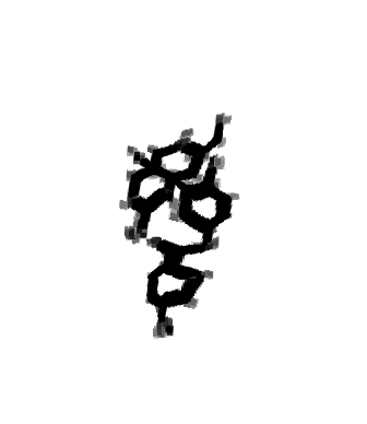 N#Cc1ccc(C(=O)Nc2ccc(F)c([C@]34C[C@H](CF)OC[C@H]3CSC(N)=N4)c2)nc1